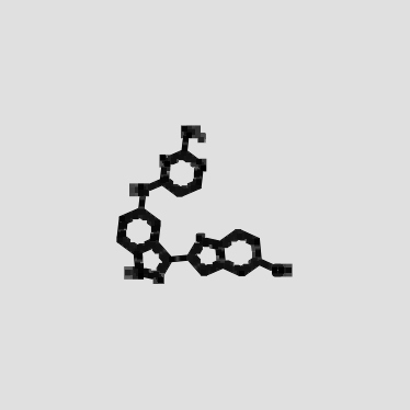 Nc1nccc(Nc2ccc3[nH]nc(-c4cc5cc(O)ccc5s4)c3c2)n1